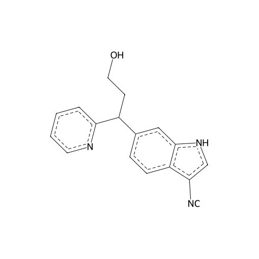 [C-]#[N+]c1c[nH]c2cc(C(CCO)c3ccccn3)ccc12